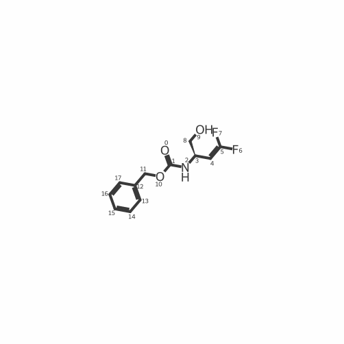 O=C(N[C@H](C=C(F)F)CO)OCc1ccccc1